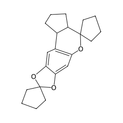 c1c2c(cc3c1OC1(CCCC1)C1CCCC31)OC1(CCCC1)O2